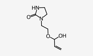 C=CC(O)OCCN1CCNC1=O